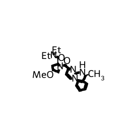 CCN(CC)C(=O)[C@@H]1C[C@@H](OC)CN1C(=O)c1ccnc(N[C@@H](C)c2ccccc2)n1